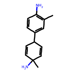 Cc1cc(C2C=CC(C)(N)C=C2)ccc1N